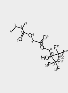 CCC(C)C(=O)OCC(=O)OCC(O)(C(F)(F)F)C(F)(F)F